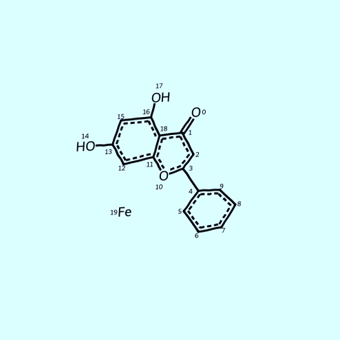 O=c1cc(-c2ccccc2)oc2cc(O)cc(O)c12.[Fe]